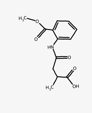 COC(=O)c1ccccc1NC(=O)CC(C)C(=O)O